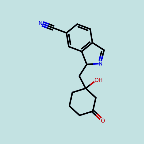 N#Cc1ccc2c(c1)C(CC1(O)CCCC(=O)C1)N=C2